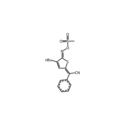 CCCCC1=CC(=C(C#N)c2ccccc2)SC1=NOS(C)(=O)=O